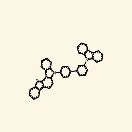 c1cc(-c2ccc(-n3c4ccccc4c4c5sc6ccccc6c5ccc43)cc2)cc(-n2c3ccccc3c3ccccc32)c1